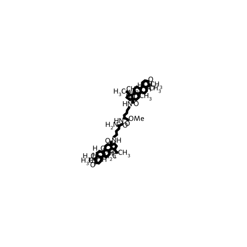 C=C(C)C1CCC2(C(=O)NCCCCC(N)C(=O)NC(CCCCNC(=O)C34CCC(C(=C)C)C3[C@H]3CC[C@@H]5[C@@]6(C)CCC(=O)C(C)(C)[C@@H]6CC[C@@]5(C)[C@]3(C)CC4)C(=O)OC)CC[C@]3(C)[C@H](CC[C@@H]4[C@@]5(C)CCC(=O)C(C)(C)[C@@H]5CC[C@]43C)C12